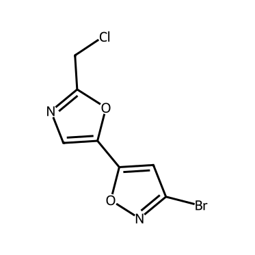 ClCc1ncc(-c2cc(Br)no2)o1